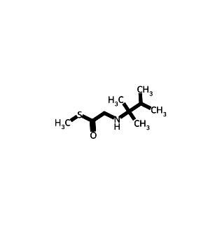 CSC(=O)CNC(C)(C)C(C)C